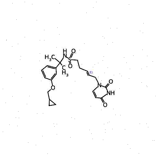 CC(C)(NS(=O)(=O)CC/C=C/Cn1ccc(=O)[nH]c1=O)c1cccc(OCC2CC2)c1